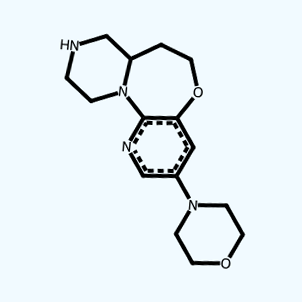 c1nc2c(cc1N1CCOCC1)OCCC1CNCCN21